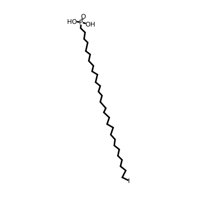 O=P(O)(O)CCCCCCCCCCCCCCCCCCCCCCCCCCCCCI